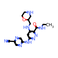 CCNC(=O)c1nnc(Nc2cnc(C#N)cn2)cc1NCC1CNCCO1